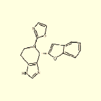 c1ccc2oc([C@@H]3c4nc[nH]c4CCN3c3nccs3)cc2c1